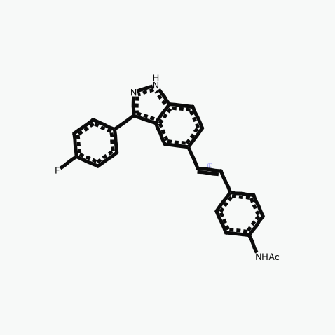 CC(=O)Nc1ccc(/C=C/c2ccc3[nH]nc(-c4ccc(F)cc4)c3c2)cc1